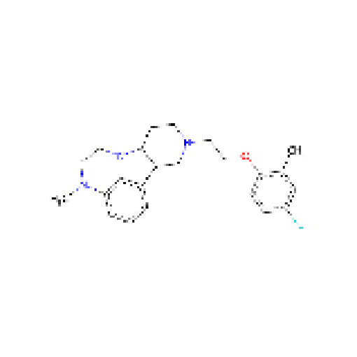 Cc1cc(F)ccc1OCCN1CCC2C(C1)c1cccc3c1N2CCN3C